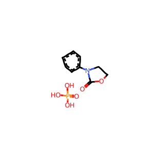 O=C1OCCN1c1ccccc1.O=P(O)(O)O